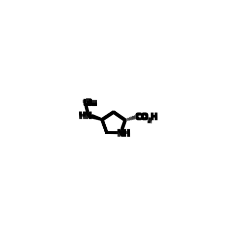 CC(C)(C)N[C@@H]1CN[C@@H](C(=O)O)C1